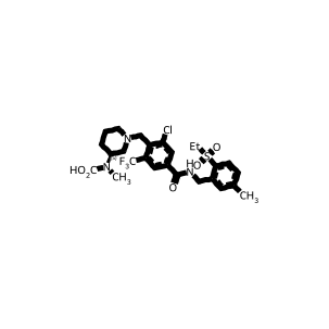 CCS(=O)(=O)c1ccc(C)cc1CNC(=O)c1cc(Cl)c(CN2CCC[C@H](N(C)C(=O)O)C2)c(C(F)(F)F)c1